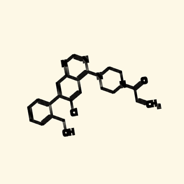 C=CC(=O)N1CCN(c2ncnc3cc(-c4ccccc4CO)c(Cl)cc23)CC1